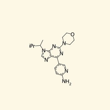 CC(C)C(C)n1cnc2c(-c3ccc(N)nc3)nc(N3CCOCC3)nc21